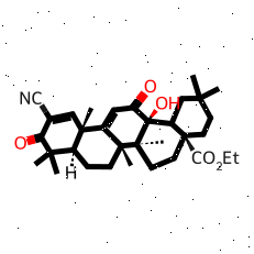 CCOC(=O)[C@]12CCC(C)(C)CC1[C@@]1(O)C(=O)C=C3[C@@]4(C)C=C(C#N)C(=O)C(C)(C)[C@@H]4CC[C@@]3(C)[C@]1(C)CC2